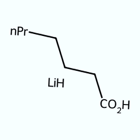 CCCCCCC(=O)O.[LiH]